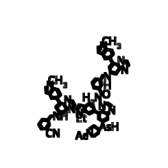 CCn1ccc2ccc(-c3cc([AsH]C4CCN(C(C)=O)CC4)cc4nccnc34)cc21.Cn1ccc2cc(-c3cc(NCc4cccc(C#N)c4)cc4nccnc34)ccc21.Cn1ccc2cc(-c3cc(NCc4cccc(C(N)=O)c4)cc4nccnc34)ccc21